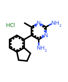 Cc1nc(N)nc(N)c1-c1cccc2c1CCC2.Cl